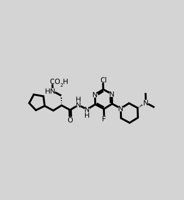 CN(C)[C@@H]1CCCN(c2nc(Cl)nc(NNC(=O)[C@@H](CNC(=O)O)CC3CCCC3)c2F)C1